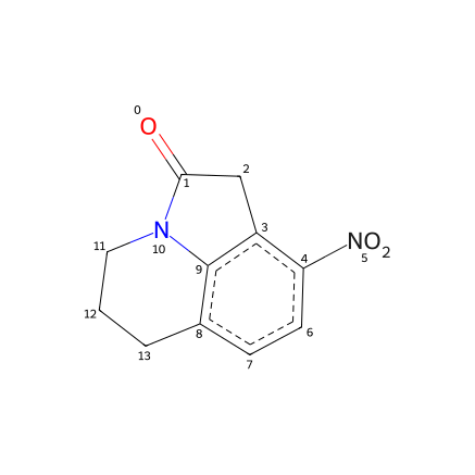 O=C1Cc2c([N+](=O)[O-])ccc3c2N1CCC3